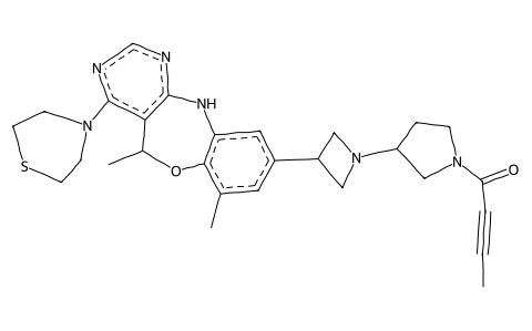 CC#CC(=O)N1CCC(N2CC(c3cc(C)c4c(c3)Nc3ncnc(N5CCSCC5)c3C(C)O4)C2)C1